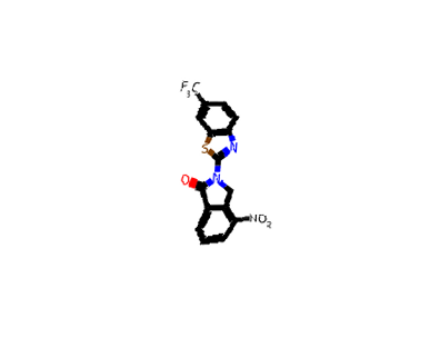 O=C1c2cccc([N+](=O)[O-])c2CN1c1nc2ccc(C(F)(F)F)cc2s1